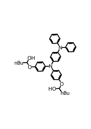 CCCCC(O)Oc1ccc(N(c2ccc(OC(O)CCCC)cc2)c2ccc(N(c3ccccc3)c3ccccc3)cc2)cc1